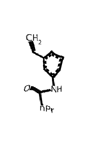 C=Cc1cccc(NC(=O)CCC)c1